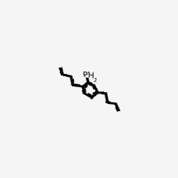 CCCCc1ccc(CCCC)c(P)c1